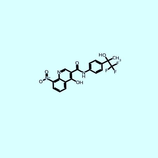 CC(O)(c1ccc(NC(=O)c2cnc3c([N+](=O)[O-])cccc3c2O)cc1)C(F)(F)F